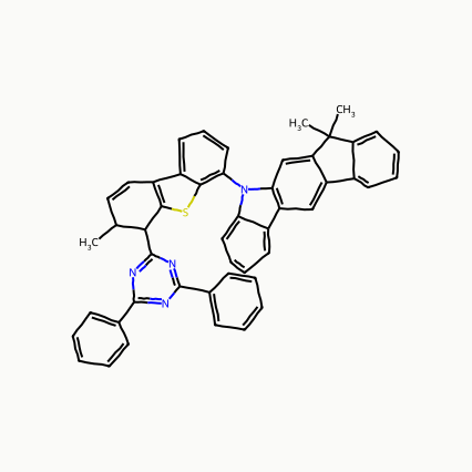 CC1C=Cc2c(sc3c(-n4c5ccccc5c5cc6c(cc54)C(C)(C)c4ccccc4-6)cccc23)C1c1nc(-c2ccccc2)nc(-c2ccccc2)n1